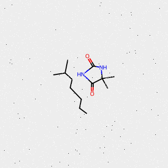 CC1(C)NC(=O)NC1=O.CCCCCC(C)C